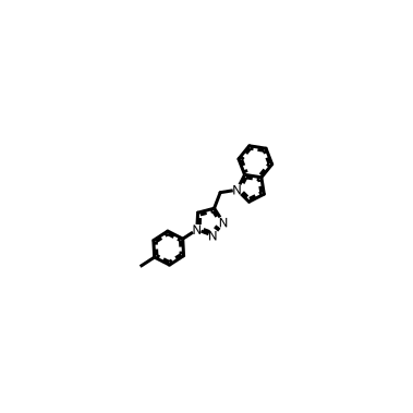 Cc1ccc(-n2cc(Cn3ccc4ccccc43)nn2)cc1